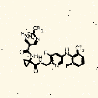 C=C(C)/N=C\C(=C/N)C(=O)NC1(C(=O)NCc2ncc(Nc3c(F)cccc3C(F)(F)F)cc2F)CC1